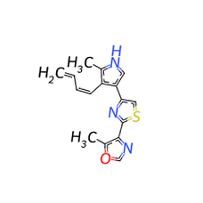 C=C/C=C\c1c(-c2csc(-c3ncoc3C)n2)c[nH]c1C